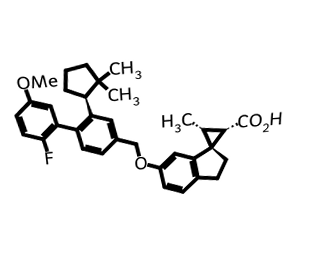 COc1ccc(F)c(-c2ccc(COc3ccc4c(c3)[C@]3(CC4)[C@H](C)[C@@H]3C(=O)O)cc2[C@H]2CCCC2(C)C)c1